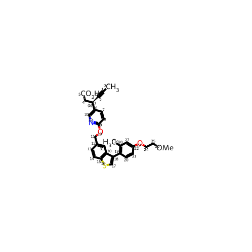 CC#C[C@H](CC(=O)O)c1ccc(OCc2ccc3scc(-c4ccc(OCCOC)cc4C)c3c2)nc1